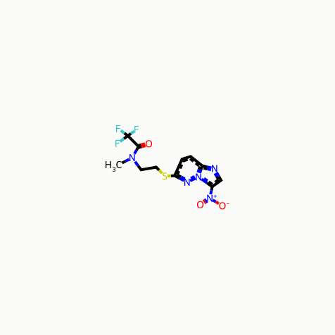 CN(CCSc1ccc2ncc([N+](=O)[O-])n2n1)C(=O)C(F)(F)F